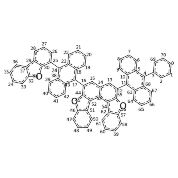 c1ccc(-c2c3ccccc3c(-c3cc4cc(-c5c6ccccc6c(-c6cccc7c6oc6ccccc67)c6ccccc56)c5oc6ccccc6c5c4c4c3oc3ccccc34)c3ccccc23)cc1